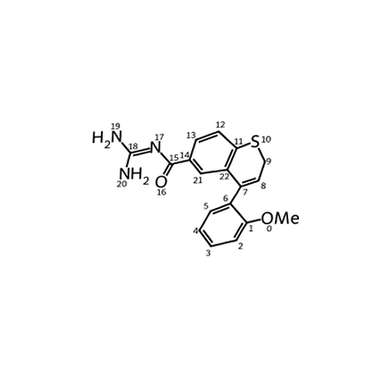 COc1ccccc1C1=CCSc2ccc(C(=O)N=C(N)N)cc21